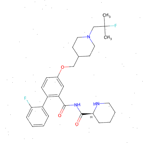 CC(C)(F)CN1CCC(COc2ccc(-c3ccccc3F)c(C(=O)NC(=O)[C@@H]3CCCCN3)c2)CC1